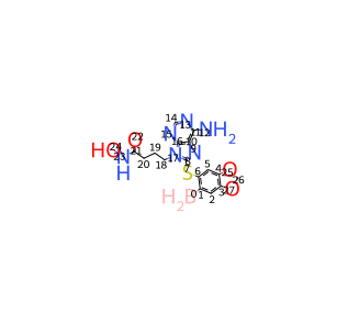 Bc1cc2c(cc1Sc1nc3c(N)ncnc3n1CCCC(=O)NO)OCO2